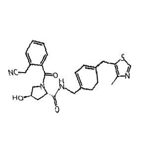 Cc1ncsc1CC1=CC=C(CNC(=O)[C@@H]2C[C@@H](O)CN2C(=O)c2ccccc2CC#N)CC1